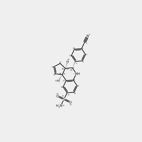 N#Cc1ccc([C@@H]2Nc3ccc(S(N)(=O)=O)cc3[C@H]3C=CC[C@H]32)cc1